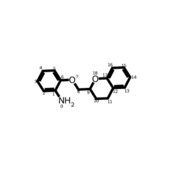 Nc1ccccc1OCC1CCc2ccccc2O1